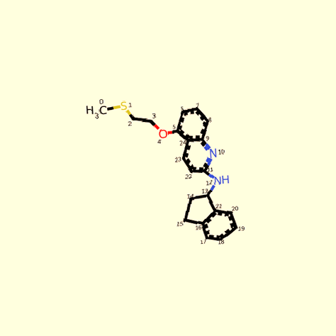 CSCCOc1cccc2nc(NC3CCc4ccccc43)ccc12